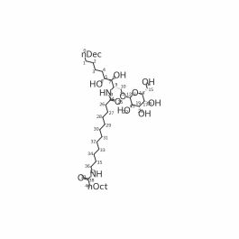 CCCCCCCCCCCCCC[C@@H](O)[C@@H](O)[C@H](CO[C@H]1O[C@H](CO)[C@H](O)[C@H](O)[C@H]1O)NC(=O)CCCCCCCCCCCNC(=O)CCCCCCCC